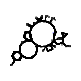 CO[C@@H](C[C@]1(OC)/C=C/C[C@H](C)[C@@H](C)S(=O)(=O)NC(=O)c2ccc3c(c2)N(CCCCc2cc(Cl)ccc2CO3)C[C@@H]2CC[C@H]21)C1CC1